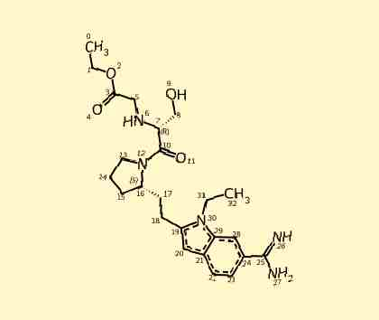 CCOC(=O)CN[C@H](CO)C(=O)N1CCC[C@H]1CCc1cc2ccc(C(=N)N)cc2n1CC